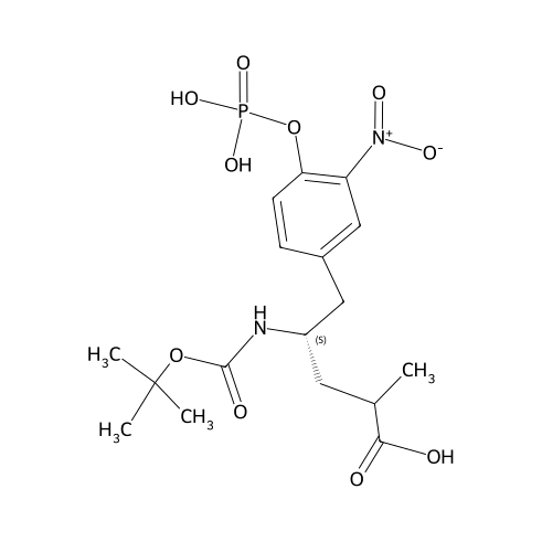 CC(C[C@@H](Cc1ccc(OP(=O)(O)O)c([N+](=O)[O-])c1)NC(=O)OC(C)(C)C)C(=O)O